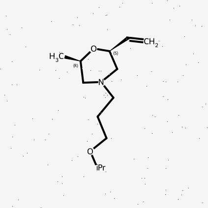 C=C[C@H]1CN(CCCOC(C)C)C[C@@H](C)O1